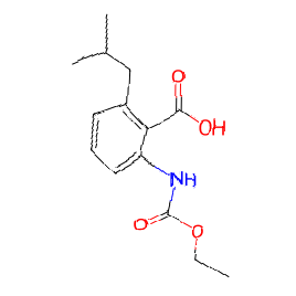 CCOC(=O)Nc1cccc(CC(C)C)c1C(=O)O